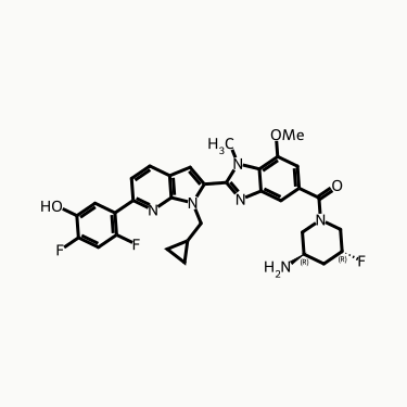 COc1cc(C(=O)N2C[C@H](N)C[C@@H](F)C2)cc2nc(-c3cc4ccc(-c5cc(O)c(F)cc5F)nc4n3CC3CC3)n(C)c12